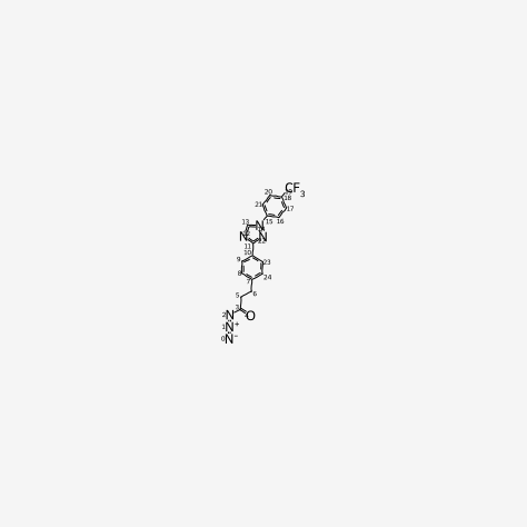 [N-]=[N+]=NC(=O)CCc1ccc(-c2ncn(-c3ccc(C(F)(F)F)cc3)n2)cc1